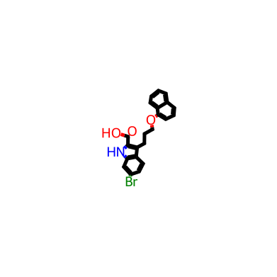 O=C(O)c1[nH]c2cc(Br)ccc2c1CCCOc1cccc2ccccc12